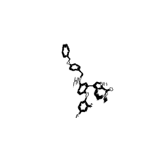 Cn1ccc2c(-c3cc(NCc4ccc(OCc5ccccc5)cc4)ccc3Oc3ccc(F)cc3F)c[nH]c2c1=O